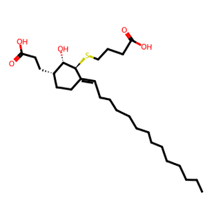 CCCCCCCCCCCCC/C=C1\CC[C@H](CCC(=O)O)[C@H](O)[C@H]1SCCCC(=O)O